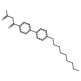 CCCCCCCCOc1ccc(-c2ccc(C(=O)CC(C)=O)cc2)cc1